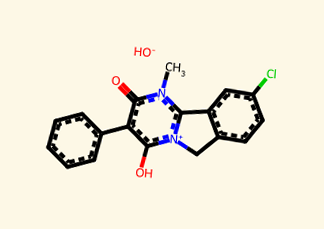 Cn1c2[n+](c(O)c(-c3ccccc3)c1=O)Cc1ccc(Cl)cc1-2.[OH-]